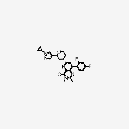 Cc1nc2c(-c3ccc(F)cc3F)cc([C@H]3CCO[C@H](c4cnn(C5CC5)c4)C3)nc2c(=O)n1C